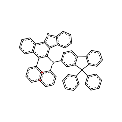 c1ccc(-c2c(N(c3ccccc3)c3ccc4c(c3)C(c3ccccc3)(c3ccccc3)c3ccccc3-4)c3c4ccccc4sc3c3ccccc23)cc1